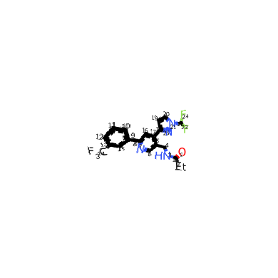 CCC(=O)NCc1cnc(-c2cccc(C(F)(F)F)c2)cc1-c1ccn(C(F)F)n1